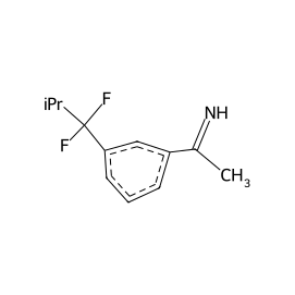 CC(=N)c1cccc(C(F)(F)C(C)C)c1